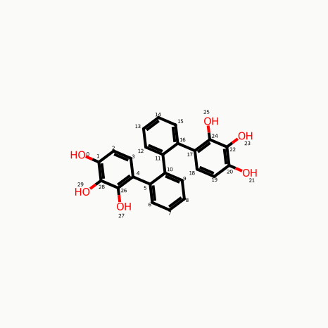 Oc1ccc(-c2ccccc2-c2ccccc2-c2ccc(O)c(O)c2O)c(O)c1O